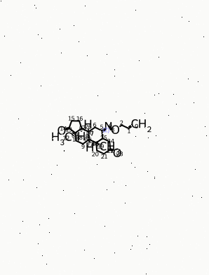 C=CCO/N=C1/C[C@@H]2[C@@H](CC[C@]3(C)C(=O)CC[C@@H]23)[C@@]2(C)CCC(=O)CC12